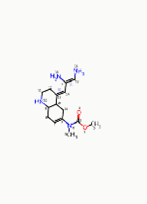 COC(=O)N(C)C1=CCC2NCC/C(=C\C(N)=C\N)C2C1